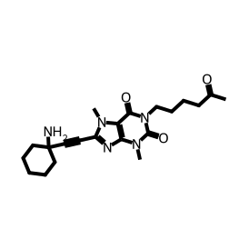 CC(=O)CCCCn1c(=O)c2c(nc(C#CC3(N)CCCCC3)n2C)n(C)c1=O